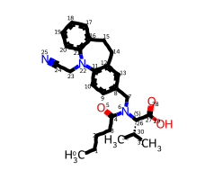 CCCCC(=O)N(Cc1ccc2c(c1)CCc1ccccc1N2CC#N)[C@H](C(=O)O)C(C)C